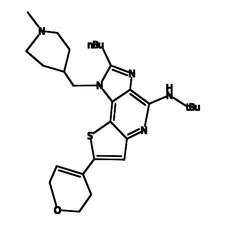 CCCCc1nc2c(NC(C)(C)C)nc3cc(C4=CCOCC4)sc3c2n1CC1CCN(C)CC1